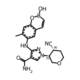 Cc1cc2c(cc1Nc1nn([C@@H]3COCC[C@H]3C#N)cc1C(N)=O)C=CB(O)O2